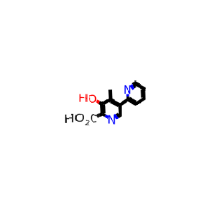 Cc1c(-c2ccccn2)cnc(C(=O)O)c1O